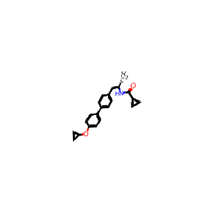 CC(Cc1ccc(-c2ccc(OC3CC3)cc2)cc1)NC(=O)C1CC1